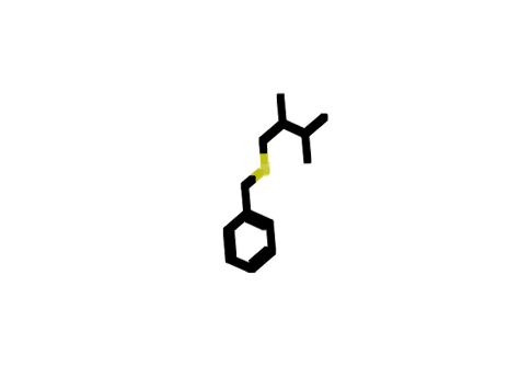 CC(C)C(C)CSCc1ccccc1